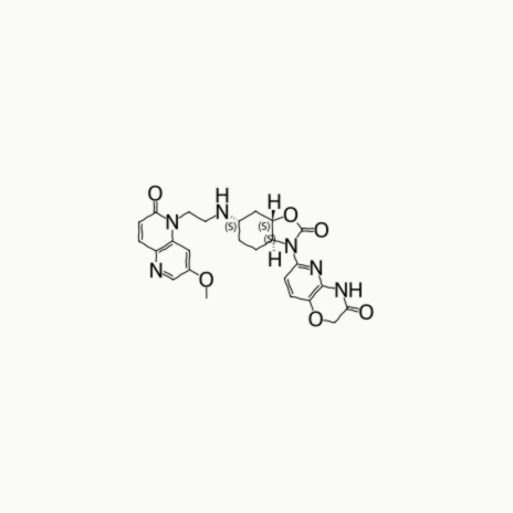 COc1cnc2ccc(=O)n(CCN[C@H]3CC[C@H]4[C@H](C3)OC(=O)N4c3ccc4c(n3)NC(=O)CO4)c2c1